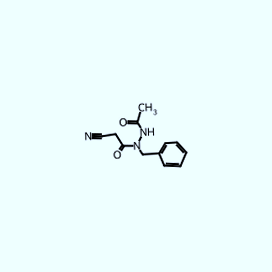 CC(=O)NN(Cc1ccccc1)C(=O)CC#N